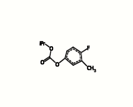 Cc1cc(OC(=O)OC(C)C)ccc1F